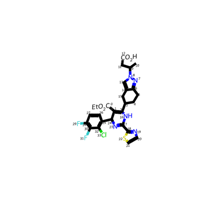 CCOC(=O)C1=C(C2CCc3nn(C(C)CC(=O)O)cc3C2)NC(c2nccs2)=NC1c1ccc(F)c(F)c1Cl